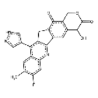 Cc1cc2c(-c3cn[nH]c3)c3c(nc2cc1F)-c1cc2c(c(=O)n1C3)COC(=O)C2O